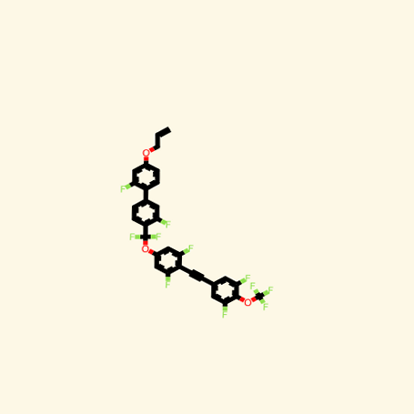 C=CCOc1ccc(-c2ccc(C(F)(F)Oc3cc(F)c(C#Cc4cc(F)c(OC(F)(F)F)c(F)c4)c(F)c3)c(F)c2)c(F)c1